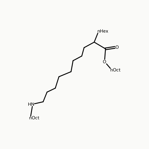 CCCCCCCCNCCCCCCCCC(CCCCCC)C(=O)OCCCCCCCC